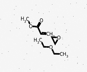 C1CO1.C=CC(=O)OC.CCOCC